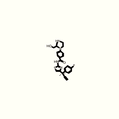 C#C[C@](C)(c1ccc(F)cc1)c1csc(NC(=O)c2ccc(N3CCNCC3CO)cc2)n1